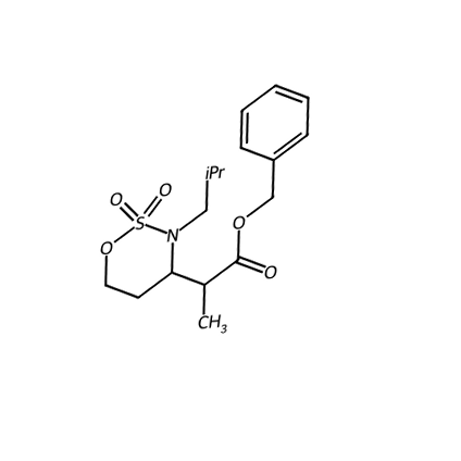 CC(C)CN1C(C(C)C(=O)OCc2ccccc2)CCOS1(=O)=O